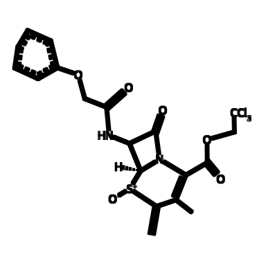 C=C1C(C)=C(C(=O)OCC(Cl)(Cl)Cl)N2C(=O)C(NC(=O)COc3ccccc3)[C@@H]2[S+]1[O-]